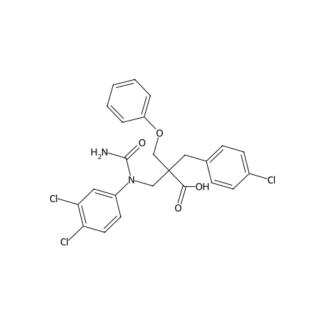 NC(=O)N(CC(COc1ccccc1)(Cc1ccc(Cl)cc1)C(=O)O)c1ccc(Cl)c(Cl)c1